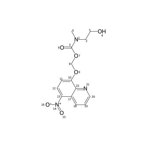 CN(CCO)C(=O)OCOc1ccc([N+](=O)[O-])c2cccnc12